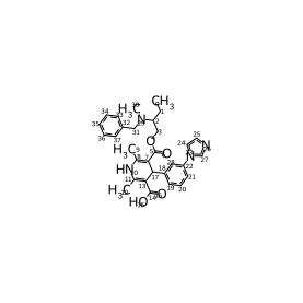 CCC(COC(=O)C1=C(C)NC(C)=C(C(=O)O)C1c1cccc(-n2ccnc2)c1)N(C)Cc1ccccc1